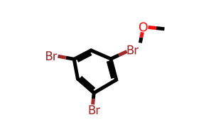 Brc1cc(Br)cc(Br)c1.COC